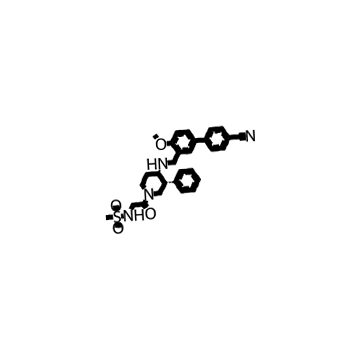 COc1ccc(-c2ccc(C#N)cc2)cc1CN[C@H]1CCN(C(=O)CNS(C)(=O)=O)C[C@H]1c1ccccc1